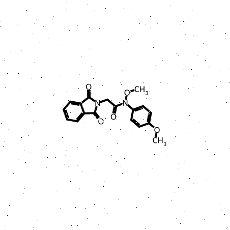 COc1ccc(N(OC)C(=O)CN2C(=O)c3ccccc3C2=O)cc1